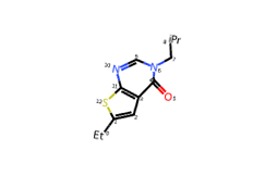 CCc1cc2c(=O)n(CC(C)C)cnc2s1